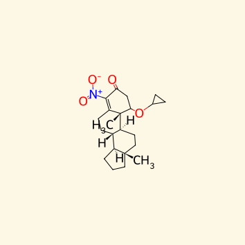 C[C@@]12CCC[C@H]1[C@@H]1CCC3=C([N+](=O)[O-])C(=O)CC(OC4CC4)[C@]3(C)[C@H]1CC2